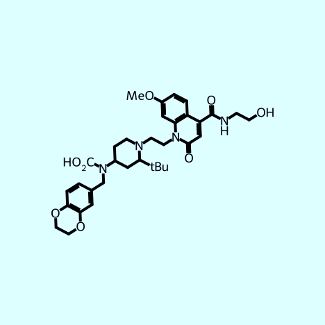 COc1ccc2c(C(=O)NCCO)cc(=O)n(CCN3CCC(N(Cc4ccc5c(c4)OCCO5)C(=O)O)CC3C(C)(C)C)c2c1